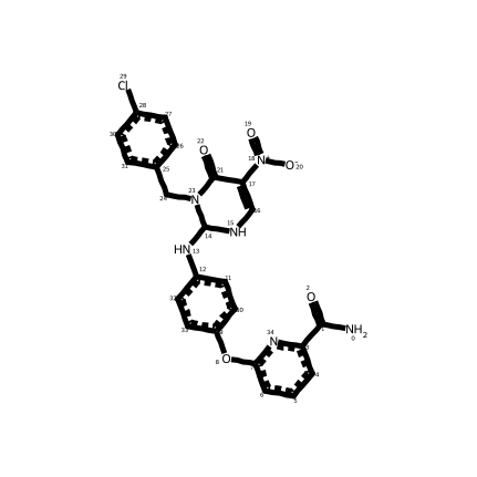 NC(=O)c1cccc(Oc2ccc(NC3NC=C([N+](=O)[O-])C(=O)N3Cc3ccc(Cl)cc3)cc2)n1